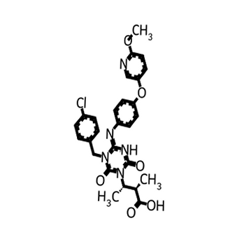 COc1ccc(Oc2ccc(/N=c3\[nH]c(=O)n([C@@H](C)[C@@H](C)C(=O)O)c(=O)n3Cc3ccc(Cl)cc3)cc2)cn1